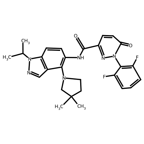 CC(C)n1ncc2c(N3CCC(C)(C)C3)c(NC(=O)c3ccc(=O)n(-c4c(F)cccc4F)n3)ccc21